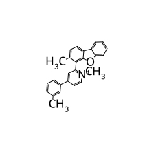 Cc1cccc(-c2cc[n+](C)c(-c3c(C)ccc4c3oc3ccccc34)c2)c1